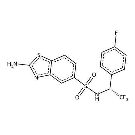 Nc1nc2cc(S(=O)(=O)N[C@H](c3ccc(F)cc3)C(F)(F)F)ccc2s1